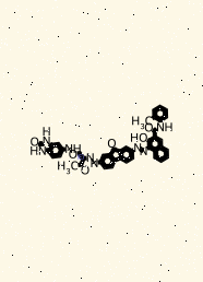 CC(=O)/C(=C\ONc1ccc2[nH]c(=O)[nH]c2c1)N=Nc1ccc2c(c1)C(=O)c1cc(N=Nc3c(O)c(C(=O)Nc4ccccc4C)cc4ccccc34)ccc1-2